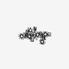 CCOC(=O)C(c1cccc(Oc2c(C)n(Cc3ccccc3)c3cc(Cl)ccc23)c1)C(C#N)c1cccc(Oc2c(C)n(Cc3ccccc3)c3cc(Cl)ccc23)c1